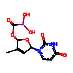 CC1=C[C@H](n2ccc(=O)[nH]c2=O)O[C@@H]1OC(=O)P(O)O